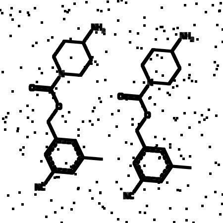 Cc1cc(C#N)cc(COC(=O)N2CCC(N)CC2)c1.Cc1cc(C#N)cc(COC(=O)N2CCC(N)CC2)c1